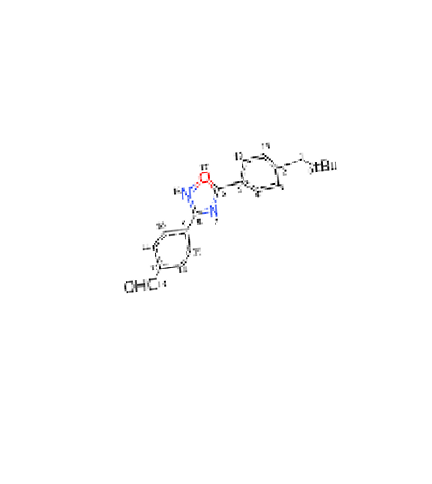 CC(C)(C)Cc1ccc(-c2nc(-c3ccc(C=O)cc3)no2)cc1